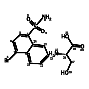 NS(=O)(=O)c1ccc(Br)c2ccccc12.N[C@@H](CO)C(=O)O